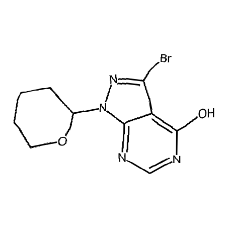 Oc1ncnc2c1c(Br)nn2C1CCCCO1